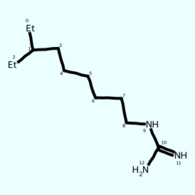 CCC(CC)CCCCCCNC(=N)N